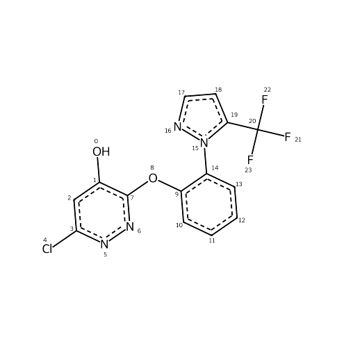 Oc1cc(Cl)nnc1Oc1ccccc1-n1nccc1C(F)(F)F